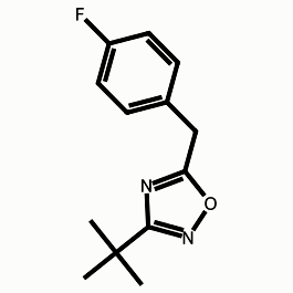 CC(C)(C)c1noc(Cc2ccc(F)cc2)n1